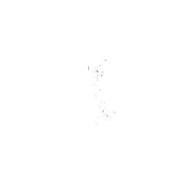 c1ccc(-c2c3ccc(-c4ccc(-c5ccc(N(c6ccccc6)c6ccccc6)cc5)cc4)cc3n3cc4ccccc4cc23)cc1